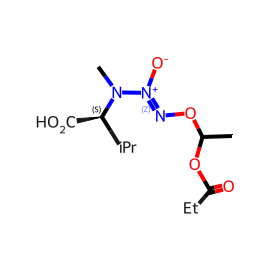 CCC(=O)OC(C)O/N=[N+](\[O-])N(C)[C@H](C(=O)O)C(C)C